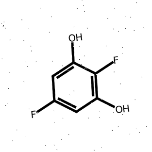 Oc1cc(F)cc(O)c1F